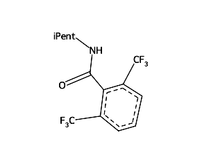 CCCC(C)NC(=O)c1c(C(F)(F)F)cccc1C(F)(F)F